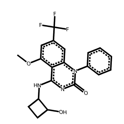 COc1cc(C(F)(F)F)cc2c1c(NC1CCC1O)nc(=O)n2-c1ccccc1